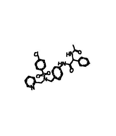 CC(=O)NC(C(=O)Nc1ccc(CN(Cc2ccccn2)S(=O)(=O)c2ccc(Cl)cc2)cc1)c1ccccc1